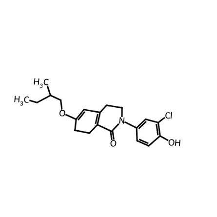 CCC(C)COC1=CC2=C(CC1)C(=O)N(c1ccc(O)c(Cl)c1)CC2